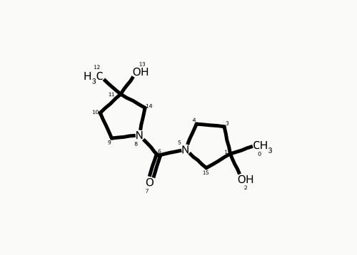 CC1(O)CCN(C(=O)N2CCC(C)(O)C2)C1